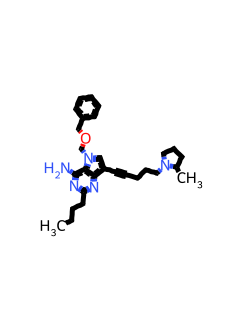 CCCCc1nc(N)c2c(n1)c(C#CCCCN1CCCC1C)cn2COCc1ccccc1